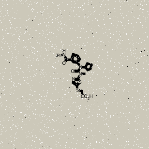 CC(C)NC(=O)c1cccc(N(C(=O)N(C)c2ncc(SCC(=O)O)s2)C2CCCC2)c1